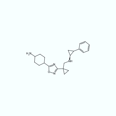 NC1CCC(c2nc(C3(CN[C@H]4CC4c4ccccc4)CC3)no2)CC1